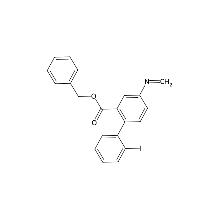 C=Nc1ccc(-c2ccccc2I)c(C(=O)OCc2ccccc2)c1